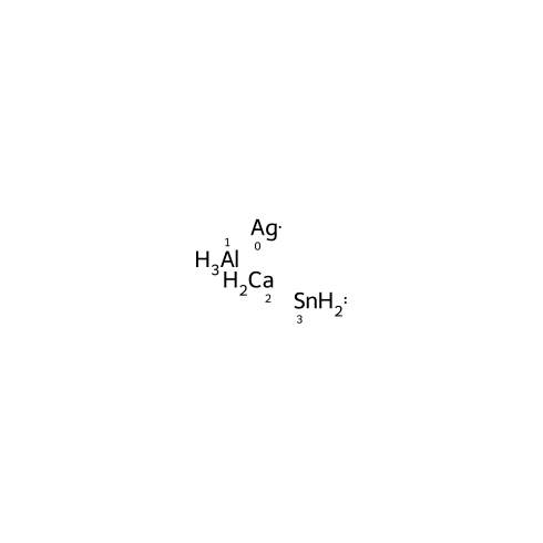 [Ag].[AlH3].[CaH2].[SnH2]